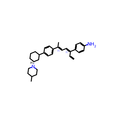 C=C/C(=C\C=C(/C)c1ccc(C2CCC[C@@H](N3CCC(C)CC3)C2)cc1)c1ccc(N)cc1